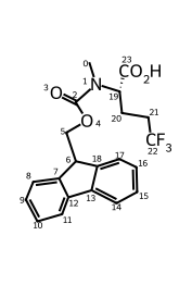 CN(C(=O)OCC1c2ccccc2-c2ccccc21)[C@@H](CCC(F)(F)F)C(=O)O